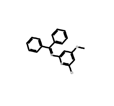 COc1cc(Cl)nc(N=C(c2ccccc2)c2ccccc2)c1